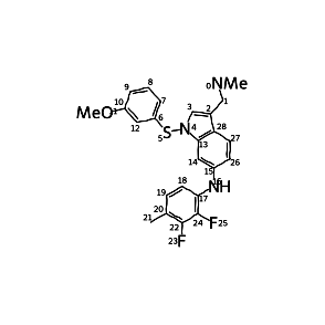 CNCc1cn(Sc2cccc(OC)c2)c2cc(Nc3ccc(C)c(F)c3F)ccc12